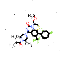 C=CC(=O)N1[C@H](C)CN(c2nc(=O)n3c4c(c(C5C#CC=C(F)C=C5F)c(C(F)(F)F)cc24)SC[C@@H]3COC)C[C@@H]1C